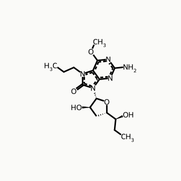 CCCn1c(=O)n([C@@H]2O[C@H]([C@@H](O)CC)C[C@H]2O)c2nc(N)nc(OC)c21